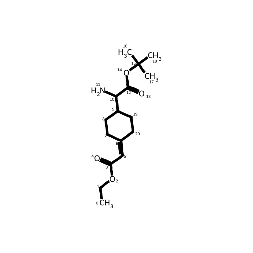 CCOC(=O)C=C1CCC(C(N)C(=O)OC(C)(C)C)CC1